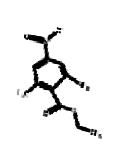 CCOC(=O)c1c(C)cc([N+](=O)[O-])cc1N